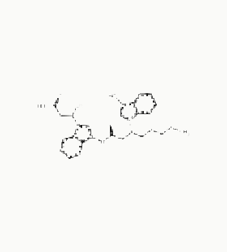 CCCCCC(CC(=O)Oc1cn(C(C)CC(=O)O)c2ccccc12)n1cc(O)c2ccccc21